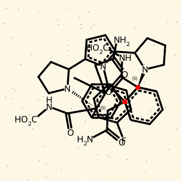 CC1(CC(N)=O)c2ccc(cc2)[C@]1(C(=O)NC(=O)O)N1CCCC1c1ccc(C2CCCN2[C@@]2(C(=O)NC(=O)O)c3ccc(cc3)C2(C)CC(N)=O)n1-c1ccc(F)cc1